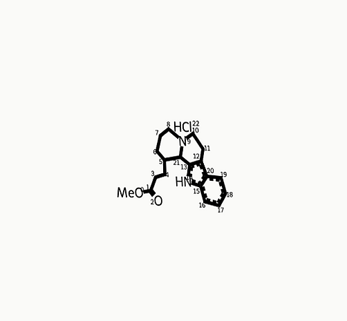 COC(=O)CCC1CCCN2CCc3c([nH]c4ccccc34)C12.Cl